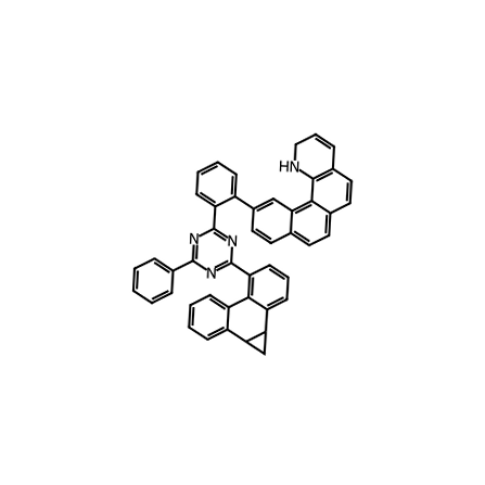 C1=Cc2ccc3ccc4ccc(-c5ccccc5-c5nc(-c6ccccc6)nc(-c6cccc7c6-c6ccccc6C6CC76)n5)cc4c3c2NC1